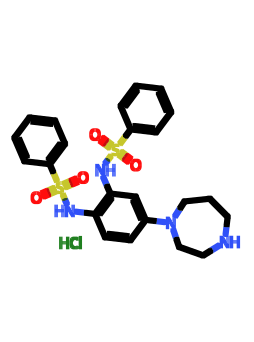 Cl.O=S(=O)(Nc1ccc(N2CCCNCC2)cc1NS(=O)(=O)c1ccccc1)c1ccccc1